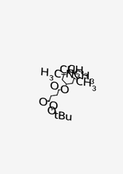 CN1C(C)(C)CC(OC(=O)CCC(=O)OOC(C)(C)C)CC1(C)C